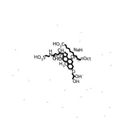 CCCCCCCC/C=C\CCCCCCCC(=O)O.C[C@H](CCC(=O)NCCS(=O)(=O)O)[C@H]1CCC2C3C(C[C@H](O)[C@@]21C)[C@@]1(C)CC[C@@H](OCC(O)CO)CC1C[C@H]3O.[NaH]